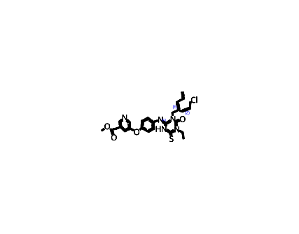 C=C/C=C(\C=C/CCl)Cn1c(=O)n(CC)c(=S)[nH]/c1=N\c1ccc(Oc2cncc(C(=O)OC)c2)cc1